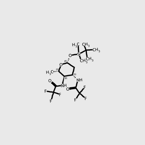 C[C@@H]1O[C@H](O[Si](C)(C)C(C)(C)C)C[C@H](NC(=O)C(F)(F)F)[C@H]1NC(=O)C(F)(F)F